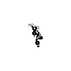 COC(=O)c1c(CCCO)c2ccc(F)c(-c3c(C)nn(C45CCC4C5)c3COCc3ccc(OC)cc3)c2n1C